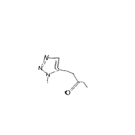 CC(=O)Cc1cnnn1C